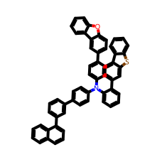 c1cc(-c2ccc(N(c3ccc(-c4ccc5oc6ccccc6c5c4)cc3)c3ccccc3-c3ccc4c(c3)sc3ccccc34)cc2)cc(-c2cccc3ccccc23)c1